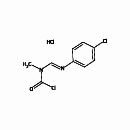 CN(C=Nc1ccc(Cl)cc1)C(=O)Cl.Cl